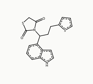 O=C1CSC(=O)N1C(CCc1cccs1)c1cccc2[nH]ccc12